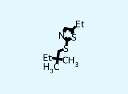 CCc1cnc(SCC(C)(C)CC)s1